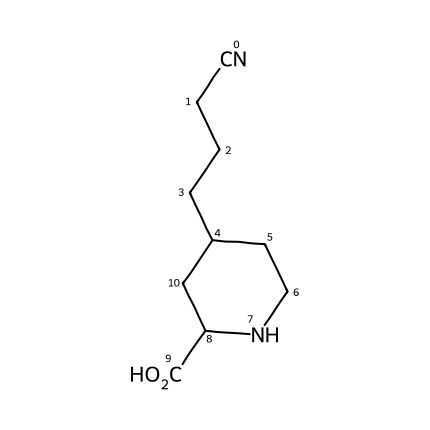 N#CCCCC1CCNC(C(=O)O)C1